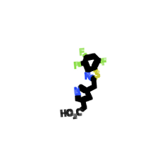 O=C(O)Cc1cncc(Cc2nc3c(F)c(F)cc(F)c3s2)c1